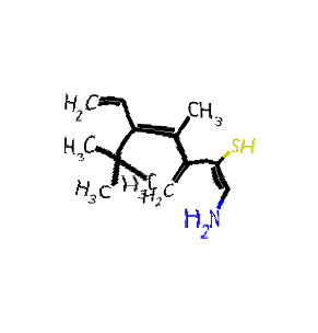 C=C/C(=C(\C)C(=C)/C(S)=C\N)C(C)(C)C